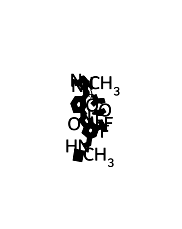 Cn1cnnc1[C@H](CC1COCCO1)c1cccc(N2Cc3c(cc(CNC4(C)CCC4)cc3C(F)(F)F)C2=O)c1